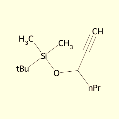 C#CC(CCC)O[Si](C)(C)C(C)(C)C